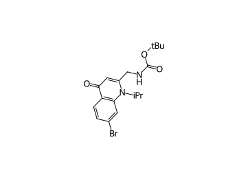 CC(C)n1c(CNC(=O)OC(C)(C)C)cc(=O)c2ccc(Br)cc21